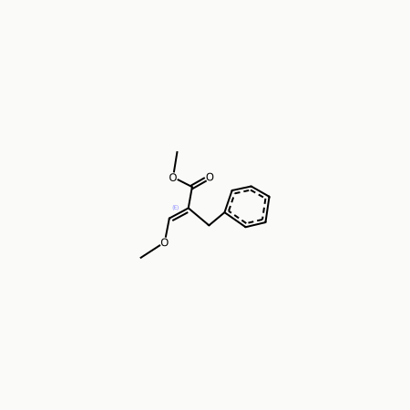 CO/C=C(\Cc1ccccc1)C(=O)OC